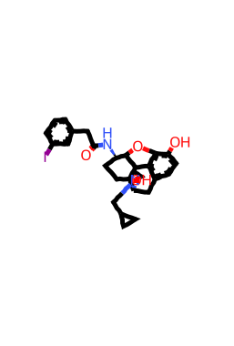 O=C(Cc1cccc(I)c1)N[C@@H]1CC[C@@]2(O)C3Cc4ccc(O)c5c4[C@@]2(CCN3CC2CC2)C1O5